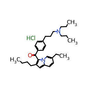 CCCCc1cc2ccc(CC)cn2c1C(=O)c1ccc(CCCN(CCC)CCC)cc1.Cl